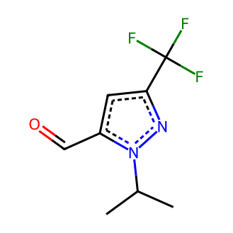 CC(C)n1nc(C(F)(F)F)cc1C=O